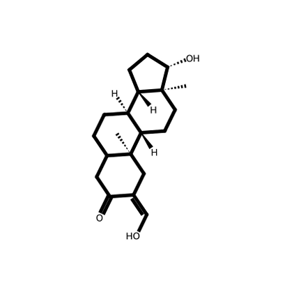 C[C@]12CC[C@H]3[C@@H](CCC4CC(=O)/C(=C\O)C[C@@]43C)[C@@H]1CC[C@@H]2O